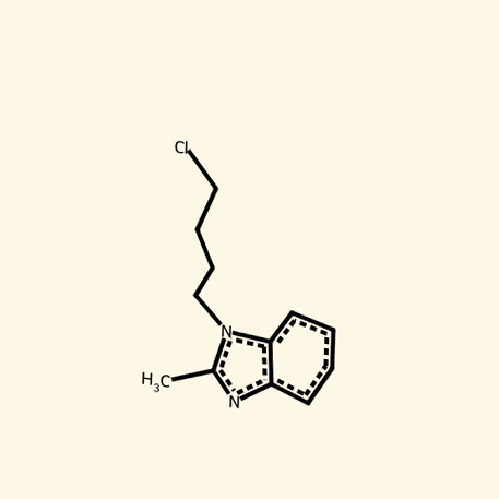 Cc1nc2ccccc2n1CCCCCl